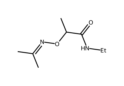 CCNC(=O)C(C)ON=C(C)C